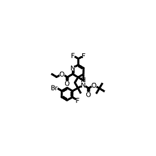 CCOC(=O)C1=NC(C(F)F)=CC2CC12CC(C)(NC(=O)OC(C)(C)C)c1cc(Br)ccc1F